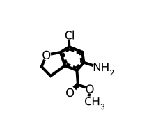 COC(=O)c1c(N)cc(Cl)c2c1CCO2